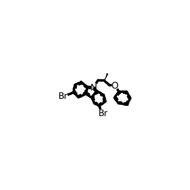 C[C@@H](COc1ccccc1)Cn1c2ccc(Br)cc2c2cc(Br)ccc21